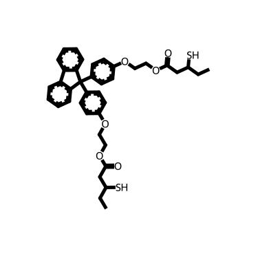 CCC(S)CC(=O)OCCOc1ccc(C2(c3ccc(OCCOC(=O)CC(S)CC)cc3)c3ccccc3-c3ccccc32)cc1